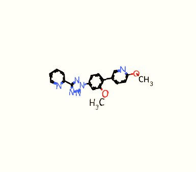 COc1ccc(-c2ccc(-n3nnc(-c4ccccn4)n3)cc2OC)cn1